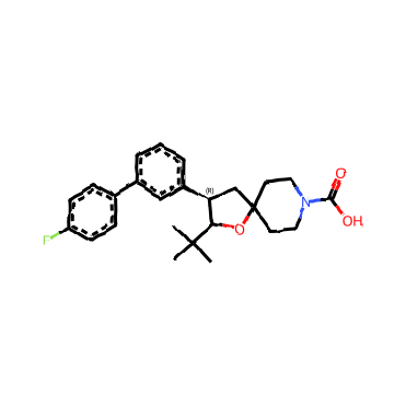 CC(C)(C)C1OC2(CCN(C(=O)O)CC2)C[C@@H]1c1cccc(-c2ccc(F)cc2)c1